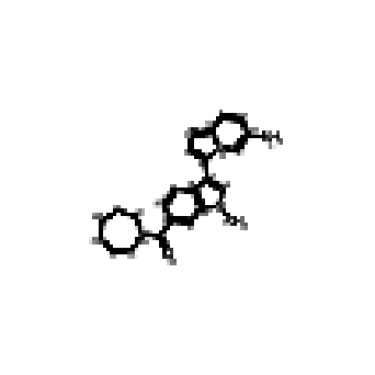 Cn1nc(-c2cnc3ccc(N)cn23)c2ccc(C(=O)N3CCCCCC3)cc21